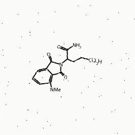 CNc1cccc2c1C(=O)N(C(CCC(=O)O)C(N)=O)C2=O